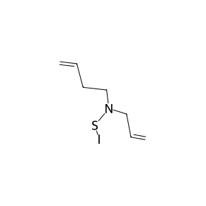 C=CCCN(CC=C)SI